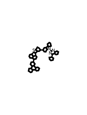 c1ccc(-c2nc(-n3c4ccccc4c4cc(-c5ccc6sc7c(c6c5)-c5ccc(-c6ccc8c9ccccc9c9ccccc9c8c6)c6cccc-7c56)ccc43)nc3ccccc23)cc1